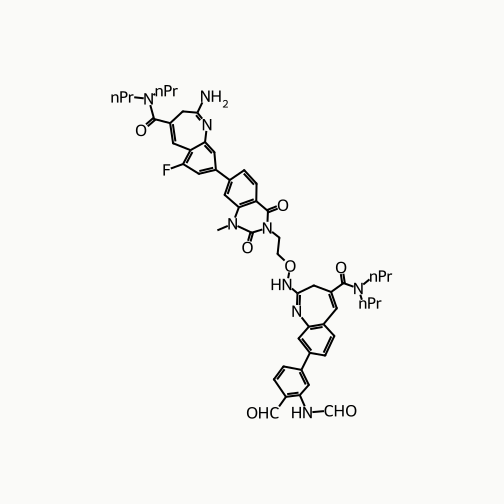 CCCN(CCC)C(=O)C1=Cc2c(F)cc(-c3ccc4c(=O)n(CCONC5=Nc6cc(-c7ccc(C=O)c(NC=O)c7)ccc6C=C(C(=O)N(CCC)CCC)C5)c(=O)n(C)c4c3)cc2N=C(N)C1